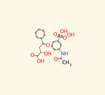 CC(=O)Nc1cccc([As](=O)(O)OO)c1.O=C(CC(O)C(=O)O)c1ccccc1